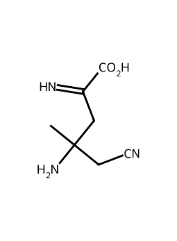 CC(N)(CC#N)CC(=N)C(=O)O